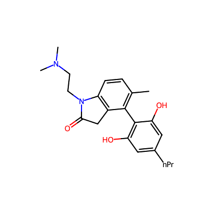 CCCc1cc(O)c(-c2c(C)ccc3c2CC(=O)N3CCN(C)C)c(O)c1